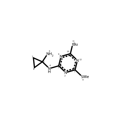 CSc1nc(NC2(N)CC2)nc(C(C)(C)C)n1